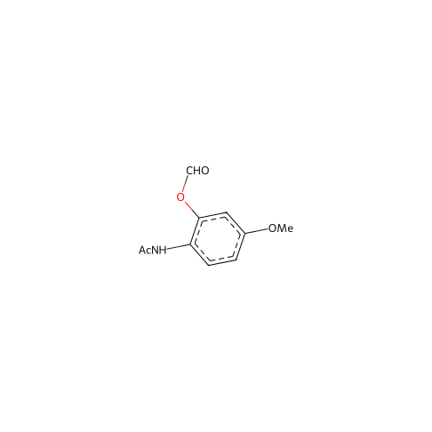 COc1ccc(NC(C)=O)c(OC=O)c1